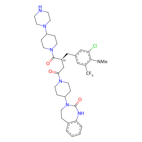 CNc1c(Cl)cc(C[C@@H](CC(=O)N2CCC(N3CCc4ccccc4NC3=O)CC2)C(=O)N2CCC(N3CCNCC3)CC2)cc1C(F)(F)F